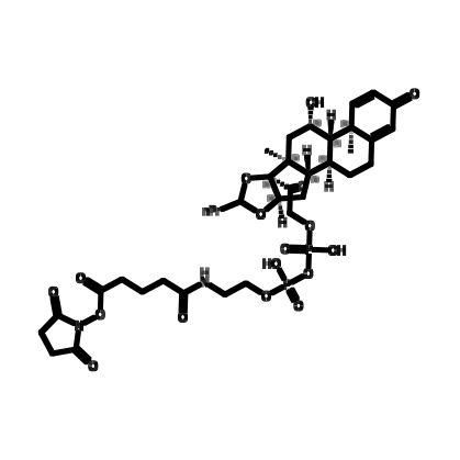 CCCC1O[C@@H]2C[C@H]3[C@@H]4CCC5=CC(=O)C=C[C@]5(C)[C@H]4[C@@H](O)C[C@]3(C)[C@]2(C(=O)COP(=O)(O)OP(=O)(O)OCCNC(=O)CCCC(=O)ON2C(=O)CCC2=O)O1